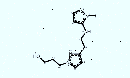 Cn1nccc1NCCc1ccn(CCCO)n1